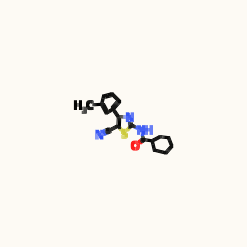 Cc1cccc(-c2nc(NC(=O)C3CCCCC3)sc2C#N)c1